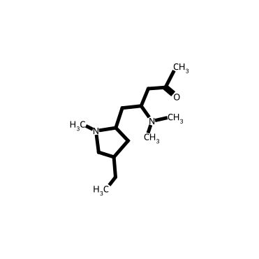 CCC1CC(CC(CC(C)=O)N(C)C)N(C)C1